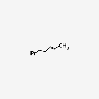 [CH2]C(C)CCC=CC